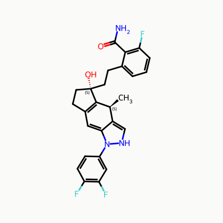 C[C@H]1C2=CNN(c3ccc(F)c(F)c3)C2=CC2=C1[C@](O)(CCc1cccc(F)c1C(N)=O)CC2